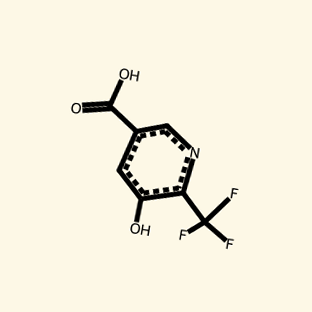 O=C(O)c1cnc(C(F)(F)F)c(O)c1